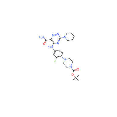 CC(C)(C)OC(=O)N1CCN(c2ccc(Nc3nc(N4CCCCC4)nnc3C(N)=O)cc2F)CC1